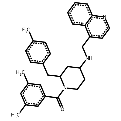 Cc1cc(C)cc(C(=O)N2CCC(NCc3ccnc4ccccc34)CC2Cc2ccc(C(F)(F)F)cc2)c1